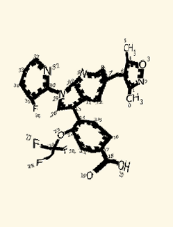 Cc1noc(C)c1-c1cnc2c(c1)c(-c1ccc(C(=O)O)cc1OC(F)(F)F)cn2-c1ncccc1F